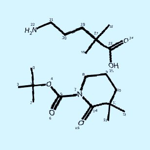 CC(C)(C)OC(=O)N1CCCC(C)(C)C1=O.CC(C)(CCCN)C(=O)O